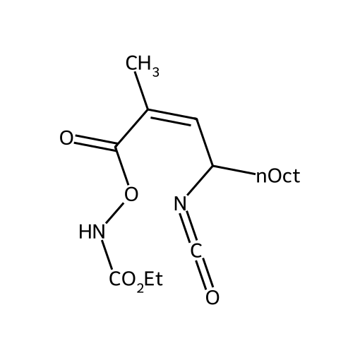 CCCCCCCCC(C=C(C)C(=O)ONC(=O)OCC)N=C=O